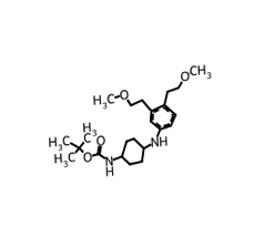 COCCc1ccc(NC2CCC(NC(=O)OC(C)(C)C)CC2)cc1CCOC